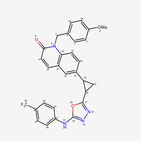 COc1ccc(Cn2c(=O)ccc3cc(C4CC4c4nnc(Nc5ccc(C(F)(F)F)cc5)o4)ccc32)cc1